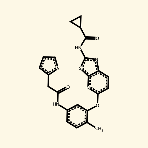 Cc1ccc(NC(=O)Cc2cccs2)cc1Oc1ccc2nc(NC(=O)C3CC3)sc2n1